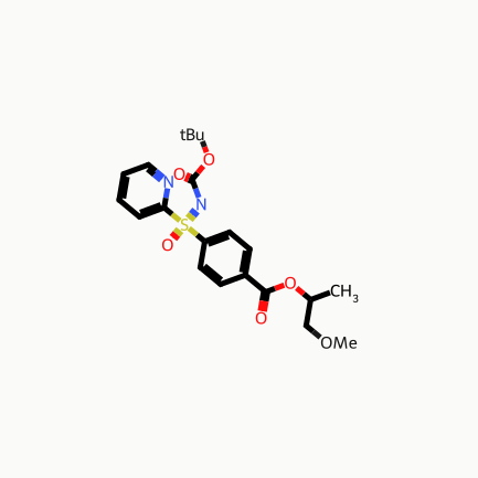 COCC(C)OC(=O)c1ccc(S(=O)(=NC(=O)OC(C)(C)C)c2ccccn2)cc1